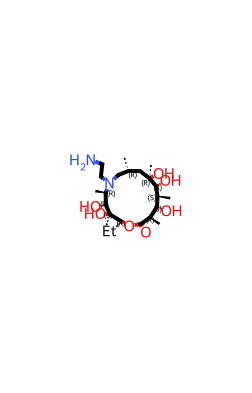 CC[C@H]1OC(=O)[C@H](C)[C@@H](O)[C@H](C)[C@@H](O)[C@](C)(O)C[C@@H](C)CN(CCN)[C@H](C)[C@@H](O)[C@]1(C)O